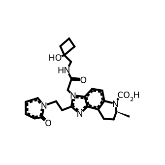 C[C@H]1CCc2c(ccc3c2nc(CCn2ccccc2=O)n3CC(=O)NCC2(O)CCC2)N1C(=O)O